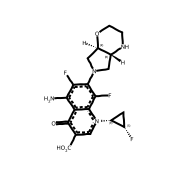 Nc1c(F)c(N2C[C@H]3NCCO[C@@H]3C2)c(F)c2c1c(=O)c(C(=O)O)cn2[C@@H]1C[C@@H]1F